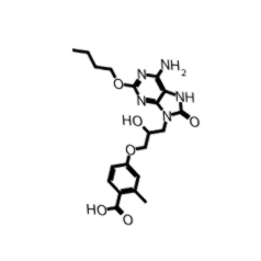 CCCCOc1nc(N)c2[nH]c(=O)n(CC(O)COc3ccc(C(=O)O)c(C)c3)c2n1